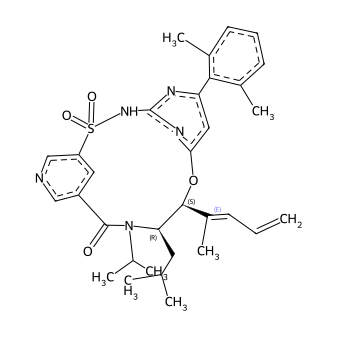 C=C/C=C(\C)[C@@H]1Oc2cc(-c3c(C)cccc3C)nc(n2)NS(=O)(=O)c2cncc(c2)C(=O)N(C(C)C)[C@@H]1CC(C)C